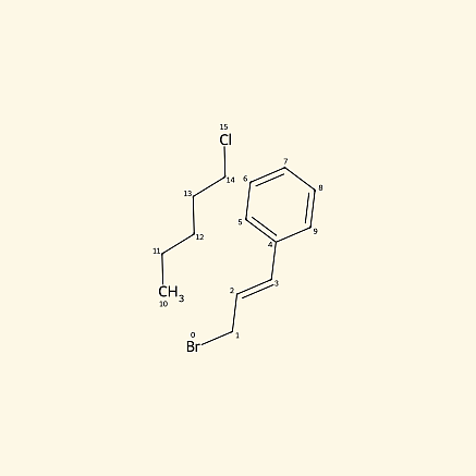 BrCC=Cc1ccccc1.CCCCCCl